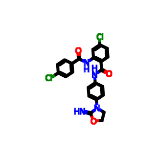 N=C1OCCN1c1ccc(NC(=O)c2ccc(Cl)cc2NC(=O)c2ccc(Cl)cc2)cc1